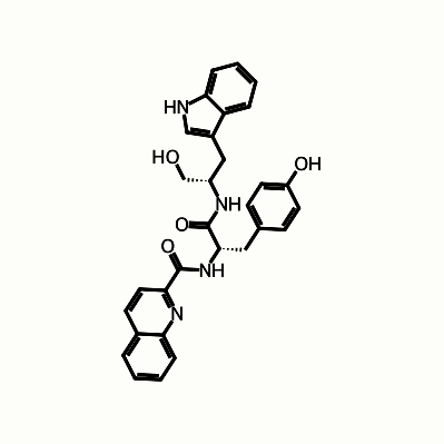 O=C(N[C@@H](Cc1ccc(O)cc1)C(=O)N[C@H](CO)Cc1c[nH]c2ccccc12)c1ccc2ccccc2n1